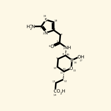 Nc1nc(CC(=O)N[C@H]2CC[C@@H](CCC(=O)O)OB2O)cs1